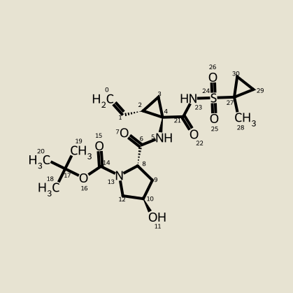 C=C[C@@H]1C[C@]1(NC(=O)[C@@H]1C[C@@H](O)CN1C(=O)OC(C)(C)C)C(=O)NS(=O)(=O)C1(C)CC1